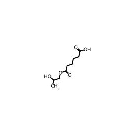 CC(O)COC(=O)CCCCC(=O)O